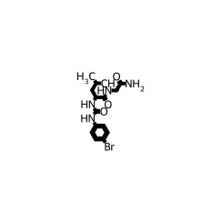 CC(C)CC(NC(=O)Nc1ccc(Br)cc1)C(=O)NCC(N)=O